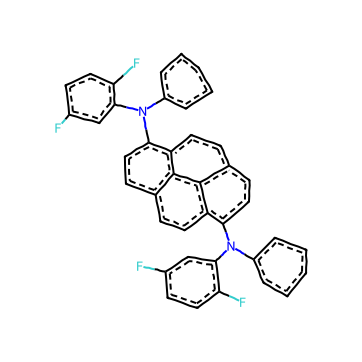 Fc1ccc(F)c(N(c2ccccc2)c2ccc3ccc4c(N(c5ccccc5)c5cc(F)ccc5F)ccc5ccc2c3c54)c1